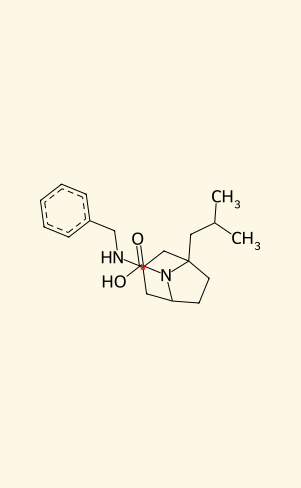 CC(C)CC12CCC(CC(NCc3ccccc3)C1)N2C(=O)O